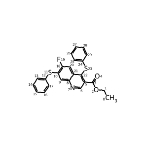 CCOC(=O)c1cnc2cc(Sc3ccccc3)c(F)cc2c1Sc1ccccc1